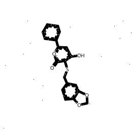 O=c1oc(-c2ccccc2)cc(O)c1SCc1ccc2c(c1)OCO2